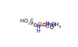 Cc1ccccc1Nc1nc2ccc(CC(=O)Nc3ccc(C4(CC(=O)O)CC4)cc3)cc2o1